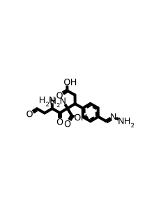 NN=Cc1ccc(C(CC(=O)O)C(N)(C(=O)O)C(=O)C(N)CC=O)cc1